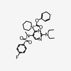 CCN(CC)c1ncc(N(C)S(=O)(=O)c2ccc(F)cc2)c([N+]2(C(=O)OC3=CC[CH]C=C3)CCCCC2)n1